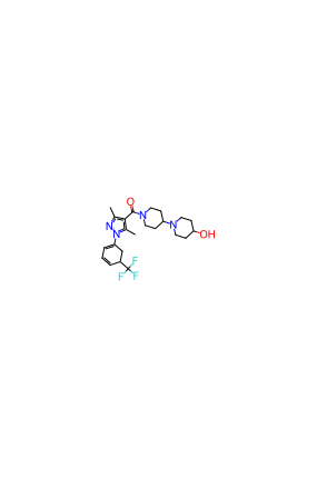 Cc1nn(C2=CC=CC(C(F)(F)F)C2)c(C)c1C(=O)N1CCC(N2CCC(O)CC2)CC1